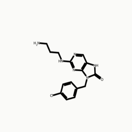 NCCCNc1ncc2[nH]c(=O)n(Cc3ccc(Cl)cc3)c2n1